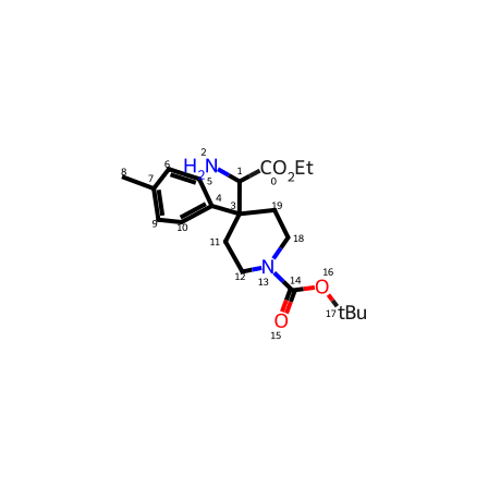 CCOC(=O)C(N)C1(c2ccc(C)cc2)CCN(C(=O)OC(C)(C)C)CC1